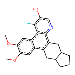 COc1cc2c3c(c4ncc(O)c(F)c4c2cc1OC)CC1CCCC1C3